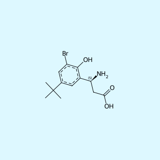 CC(C)(C)c1cc(Br)c(O)c([C@@H](N)CC(=O)O)c1